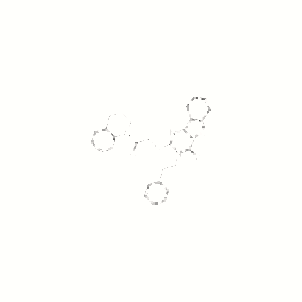 O=C(CSc1nc2c(sc3ccccc32)c(=O)n1CCc1ccccc1)N1CCCc2ccccc21